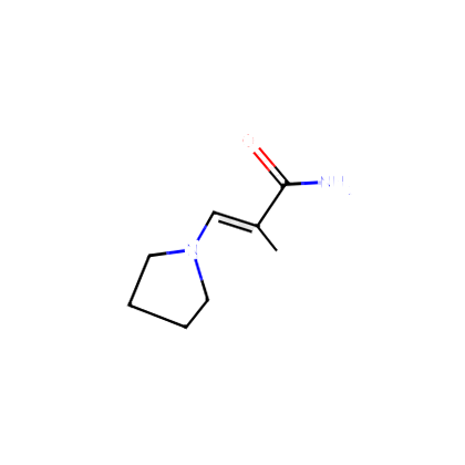 C/C(=C\N1CCCC1)C(N)=O